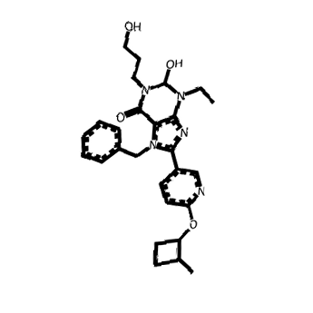 CCN1c2nc(-c3ccc(OC4CCC4C)nc3)n(Cc3ccccc3)c2C(=O)N(CCCO)C1O